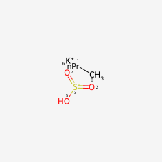 CCCC.O=[S-](=O)O.[K+]